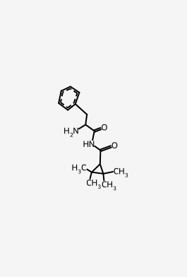 CC1(C)C(C(=O)NC(=O)C(N)Cc2ccccc2)C1(C)C